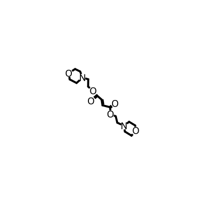 O=C(/C=C/C(=O)OCCN1CCOCC1)OCCN1CCOCC1